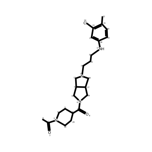 CC(=O)N1CCC(C(=O)N2CC3CN(CCCNc4ccc(C)c(Cl)c4)CC3C2)CC1